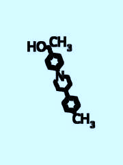 Cc1ccc(C2CCN(c3ccc(C(C)O)cc3)CC2)cc1